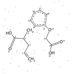 C=CCC(C)C(=O)O.O=C(O)COc1ccccc1